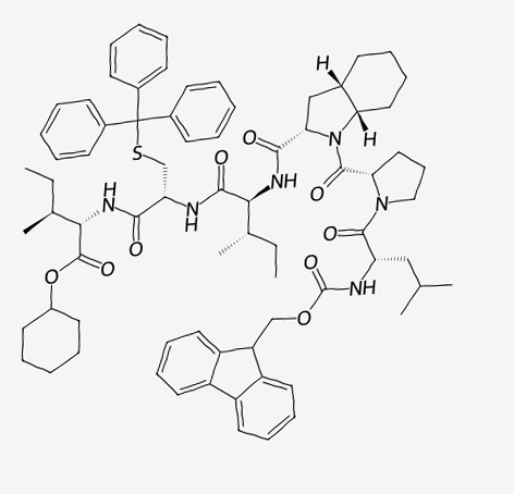 CC[C@H](C)[C@H](NC(=O)[C@@H]1C[C@@H]2CCCC[C@@H]2N1C(=O)[C@@H]1CCCN1C(=O)[C@H](CC(C)C)NC(=O)OCC1c2ccccc2-c2ccccc21)C(=O)N[C@@H](CSC(c1ccccc1)(c1ccccc1)c1ccccc1)C(=O)N[C@H](C(=O)OC1CCCCC1)[C@@H](C)CC